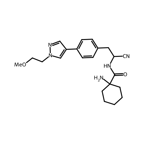 COCCn1cc(-c2ccc(CC(C#N)NC(=O)C3(N)CCCCC3)cc2)cn1